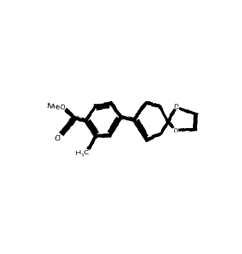 COC(=O)c1ccc(C2=CCC3(CC2)OCCO3)cc1C